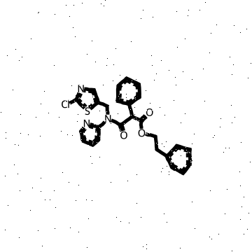 O=C(OCCc1ccccc1)C(C(=O)N(Cc1cnc(Cl)s1)c1ccccn1)c1ccccc1